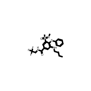 CCCCNc1cc(C(=O)NCC(F)(F)F)cc(S(C)(=O)=NC)c1Oc1ccccc1